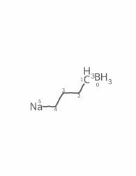 B.CCC[CH2][Na]